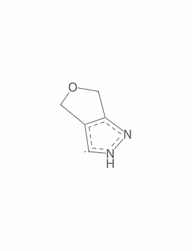 [c]1[nH]nc2c1COC2